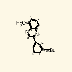 Cc1cccc2nc(C3=CCCC(C(C)(C)C)=C3)cnc12